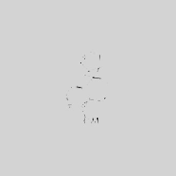 COc1cccc2c1CCCC21CC2=CCC1C2